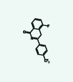 O=C1N=C(c2ccc(C(F)(F)F)cc2)Cc2c(F)cccc21